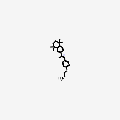 C/C(=C\c1ccc(OCCN)cc1)c1ccc2c(c1)C(C)(C)CCC2(C)C